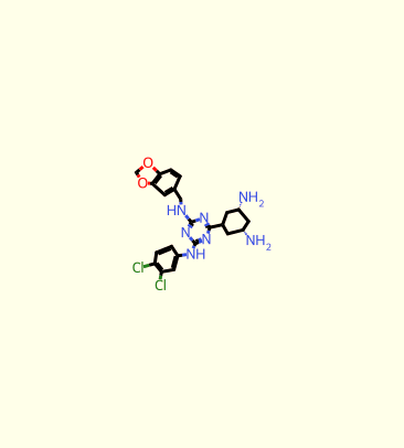 N[C@@H]1CC(c2nc(NCc3ccc4c(c3)OCO4)nc(Nc3ccc(Cl)c(Cl)c3)n2)C[C@H](N)C1